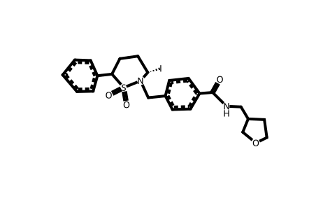 O=C(NCC1CCOC1)c1ccc(CN2[C@@H](I)CCC(c3ccccc3)S2(=O)=O)cc1